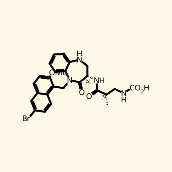 COc1ccc2cc(Br)ccc2c1CN1C(=O)[C@@H](NC(=O)[C@@H](C)CNC(=O)O)CNc2ccccc21